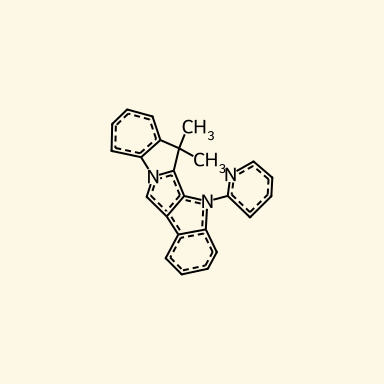 CC1(C)c2ccccc2-n2cc3c4ccccc4n(-c4ccccn4)c3c21